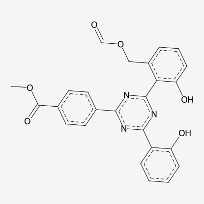 COC(=O)c1ccc(-c2nc(-c3ccccc3O)nc(-c3c(O)cccc3COC=O)n2)cc1